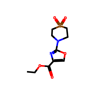 CCOC(=O)c1coc(N2CCS(=O)(=O)CC2)n1